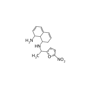 CC(NC1CC=CC2=CC=CC(N)C21)c1ccc([N+](=O)[O-])o1